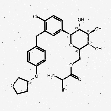 CC(C)C(N)C(=O)OC[C@H]1O[C@@H](c2ccc(Cl)c(Cc3ccc(O[C@@H]4CCOC4)cc3)c2)[C@H](O)[C@@H](O)[C@@H]1O